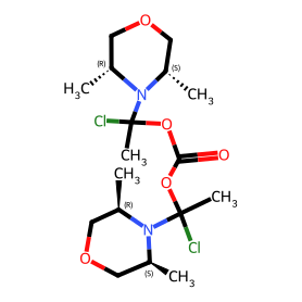 C[C@@H]1COC[C@H](C)N1C(C)(Cl)OC(=O)OC(C)(Cl)N1[C@H](C)COC[C@@H]1C